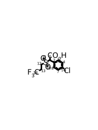 O=C(O)C(c1ccc(Cl)cc1)S(=O)(=O)CCC(F)(F)F